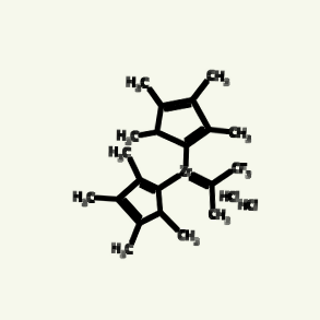 CC1=C(C)C(C)[C]([Zr]([C]2=C(C)C(C)=C(C)C2C)=[C](C)C(F)(F)F)=C1C.Cl.Cl